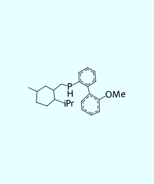 COc1ccccc1-c1ccccc1PCC1CC(C)CCC1C(C)C